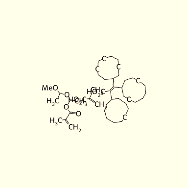 C=C(C)C(=O)O.C=C(C)C(=O)OC(C)OC(C)OC.O=C(O)C(=C(C1CCCCCCCCC1)C1CCCCCCCCC1)C1CCCCCCCCC1